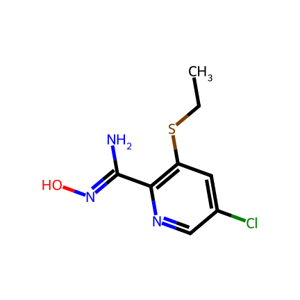 CCSc1cc(Cl)cnc1C(N)=NO